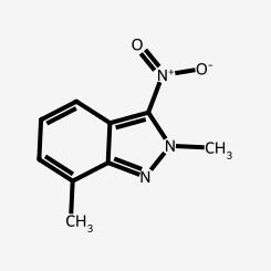 Cc1cccc2c([N+](=O)[O-])n(C)nc12